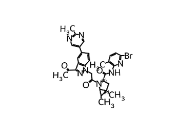 CC(=O)c1nn(CC(=O)N2C3C(C)[C@@]3(C)C[C@@H]2C(=O)Nc2nc(Br)ccc2C)c2ccc(-c3cnc(C)nc3)cc12